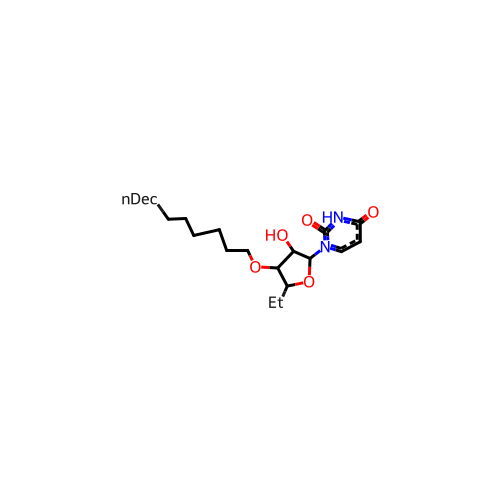 CCCCCCCCCCCCCCCCOC1C(CC)OC(n2ccc(=O)[nH]c2=O)C1O